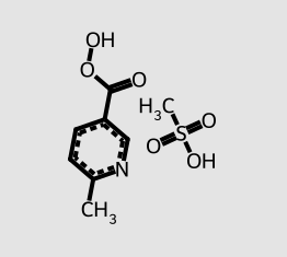 CS(=O)(=O)O.Cc1ccc(C(=O)OO)cn1